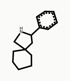 c1ccc(C2CC3(CCCCC3)CN2)cc1